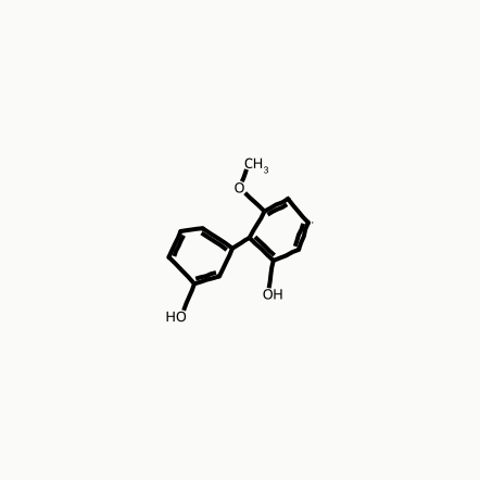 COc1c[c]cc(O)c1-c1cccc(O)c1